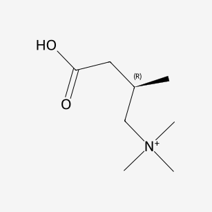 C[C@H](CC(=O)O)C[N+](C)(C)C